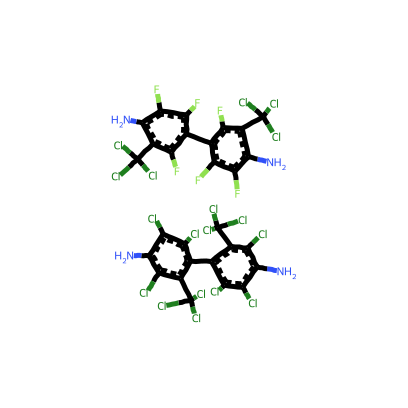 Nc1c(Cl)c(Cl)c(-c2c(Cl)c(Cl)c(N)c(Cl)c2C(Cl)(Cl)Cl)c(C(Cl)(Cl)Cl)c1Cl.Nc1c(F)c(F)c(-c2c(F)c(F)c(N)c(C(Cl)(Cl)Cl)c2F)c(F)c1C(Cl)(Cl)Cl